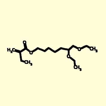 C=C(CC)C(=O)OCCCCCC(COCC)OCC